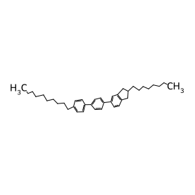 CCCCCCCCCCc1ccc(-c2ccc(-c3ccc4c(c3)CC(CCCCCCCC)C4)cc2)cc1